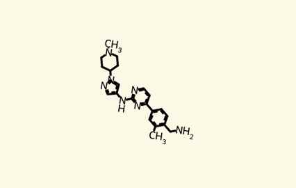 Cc1cc(-c2ccnc(Nc3cnn(C4CCN(C)CC4)c3)n2)ccc1CN